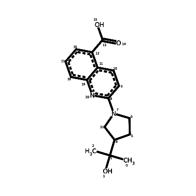 CC(C)(O)C1CCN(c2ccc3c(C(=O)O)cccc3n2)C1